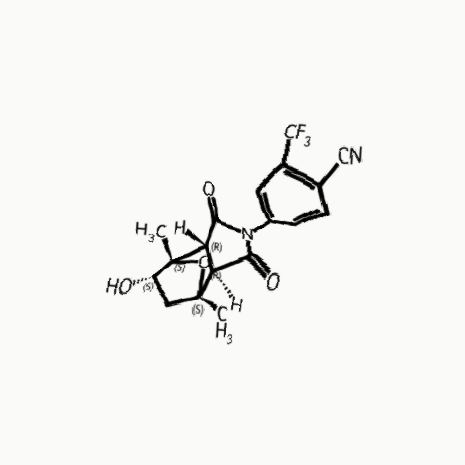 C[C@@]12O[C@@](C)(C[C@@H]1O)[C@@H]1C(=O)N(c3ccc(C#N)c(C(F)(F)F)c3)C(=O)[C@H]12